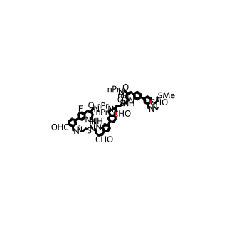 CCCN(CCC)C(=O)C1=Cc2c(F)cc(-c3ccc(C=O)c(/C=N\N(C)CCSNC4=Nc5cc(-c6ccc(C=O)c(/C=N\N(C)CC[S+]([O-])NC7=Nc8cc(-c9ccc(C=O)c(/C=N\N(C)CCCSC)c9)ccc8C=C(C(=O)N(CCC)CCC)C7)c6)ccc5C=C(C=O)C4)c3)cc2N=C(N)C1